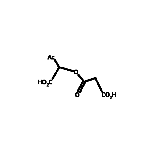 CC(=O)C(OC(=O)CC(=O)O)C(=O)O